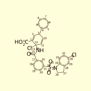 O=C(O)C1=CC(c2ccccc2)C=CC1(Cl)NC(=O)c1cccc(S(=O)(=O)N2CCc3cc(Cl)ccc32)c1